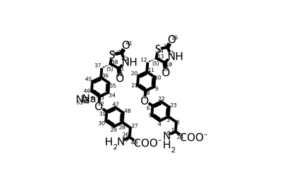 NC(Cc1ccc(Oc2ccc(C[C@@H]3SC(=O)NC3=O)cc2)cc1)C(=O)[O-].NC(Cc1ccc(Oc2ccc(C[C@@H]3SC(=O)NC3=O)cc2)cc1)C(=O)[O-].[Na+].[Na+]